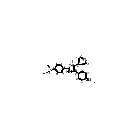 CN(O)c1ccc(C2NC(c3ccncc3)=C(c3ccc(N)cc3)N2)cc1